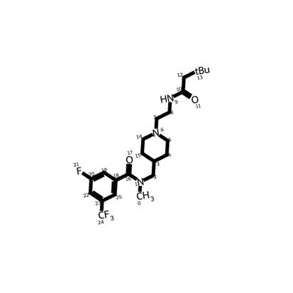 CN(CC1CCN(CCNC(=O)CC(C)(C)C)CC1)C(=O)c1cc(F)cc(C(F)(F)F)c1